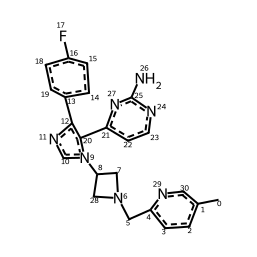 Cc1ccc(CN2CC(n3cnc(-c4ccc(F)cc4)c3-c3ccnc(N)n3)C2)nc1